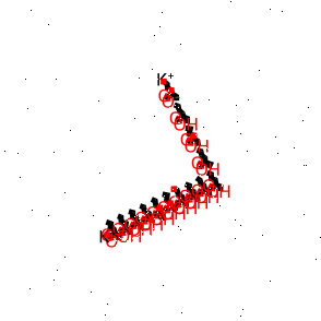 CCCCC(CC)C(=O)O.CCCCC(CC)C(=O)O.CCCCC(CC)C(=O)O.CCCCC(CC)C(=O)O.CCCCC(CC)C(=O)O.CCCCC(CC)C(=O)O.CCCCC(CC)C(=O)O.CCCCC(CC)C(=O)O.CCCCC(CC)C(=O)O.CCCCC(CC)C(=O)O.CCCCC(CC)C(=O)O.CCCCC(CC)C(=O)O.CCCCC(CC)C(=O)[O-].CCCCC(CC)C(=O)[O-].[K+].[K+]